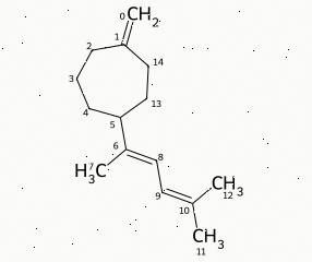 C=C1CCCC(C(C)=CC=C(C)C)CC1